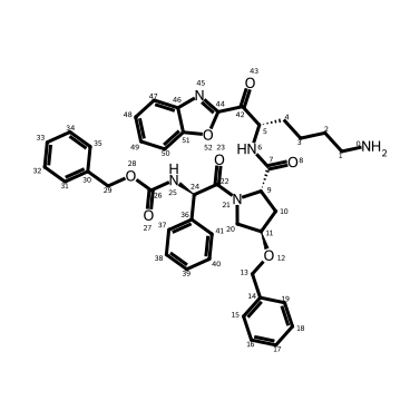 NCCCC[C@H](NC(=O)[C@@H]1C[C@@H](OCc2ccccc2)CN1C(=O)[C@H](NC(=O)OCc1ccccc1)c1ccccc1)C(=O)c1nc2ccccc2o1